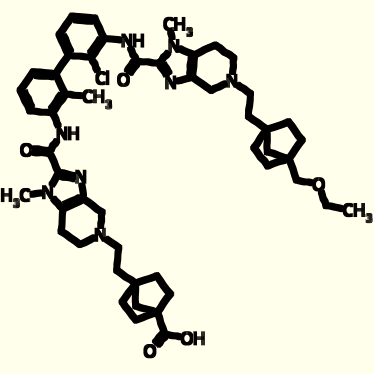 CCOCC12CCC(CCN3CCc4c(nc(C(=O)Nc5cccc(-c6cccc(NC(=O)c7nc8c(n7C)CCN(CCC79CCC(C(=O)O)(CC7)C9)C8)c6C)c5Cl)n4C)C3)(CC1)C2